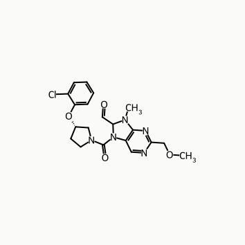 COCc1ncc2c(n1)N(C)C(C=O)N2C(=O)N1CC[C@H](Oc2ccccc2Cl)C1